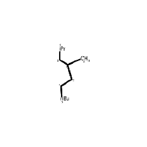 CCCCCCC(C)[CH]C(C)C